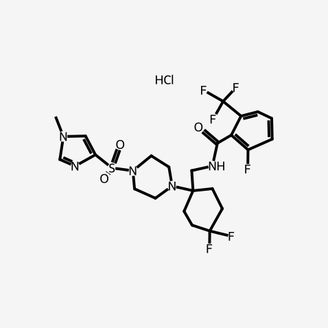 Cl.Cn1cnc(S(=O)(=O)N2CCN(C3(CNC(=O)c4c(F)cccc4C(F)(F)F)CCC(F)(F)CC3)CC2)c1